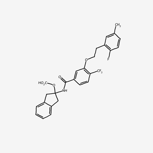 Cc1ccc(F)c(CCOc2cc(C(=O)NC3(OC(=O)O)Cc4ccccc4C3)ccc2C(F)(F)F)c1